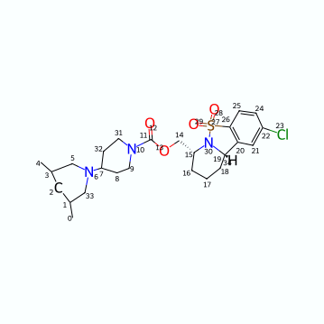 CC1CC(C)CN(C2CCN(C(=O)OC[C@H]3CCC[C@H]4c5cc(Cl)ccc5S(=O)(=O)N34)CC2)C1